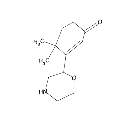 CC1(C)CCC(=O)C=C1C1CNCCO1